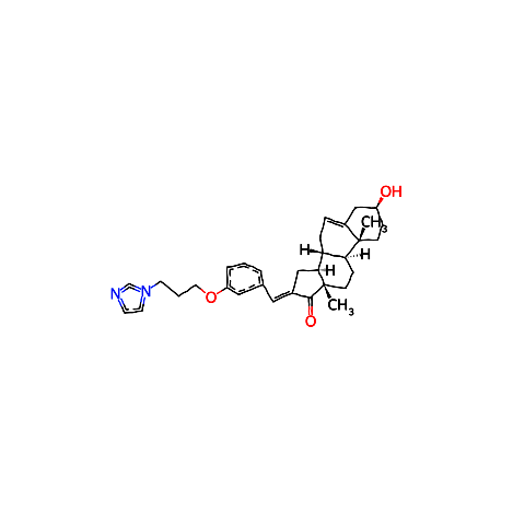 C[C@]12CC[C@H](O)CC1=CC[C@@H]1[C@@H]2CC[C@]2(C)C(=O)C(=Cc3cccc(OCCCn4ccnc4)c3)C[C@@H]12